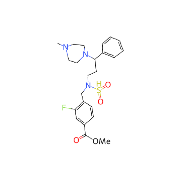 COC(=O)c1ccc(CN(CCC(c2ccccc2)N2CCN(C)CC2)[SH](=O)=O)c(F)c1